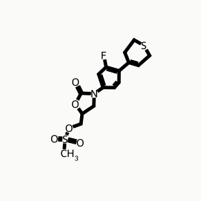 CS(=O)(=O)OCC1CN(c2ccc(C3=CCSCC3)c(F)c2)C(=O)O1